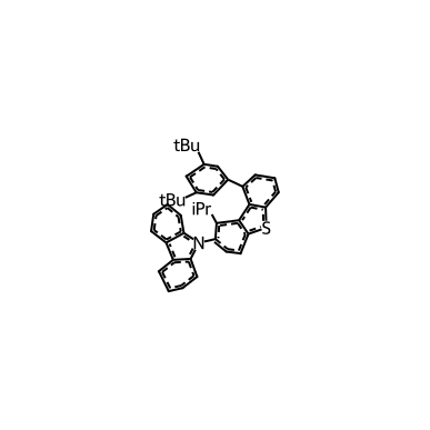 CC(C)c1c(-n2c3ccccc3c3ccccc32)ccc2sc3cccc(-c4cc(C(C)(C)C)cc(C(C)(C)C)c4)c3c12